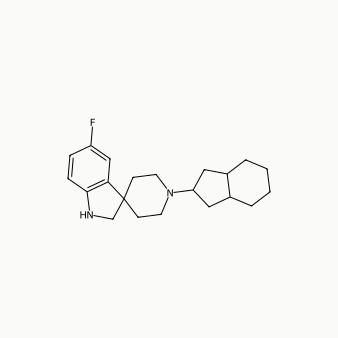 Fc1ccc2c(c1)C1(CCN(C3CC4CCCCC4C3)CC1)CN2